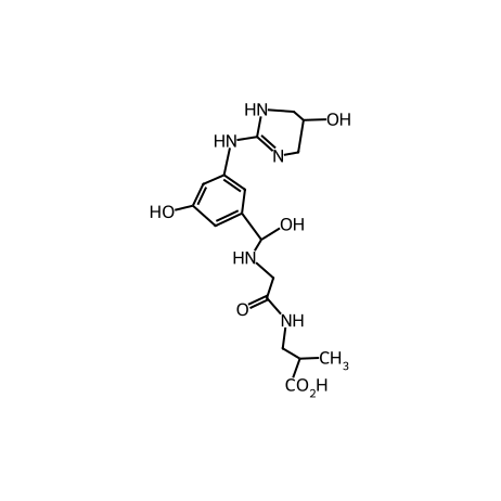 CC(CNC(=O)CNC(O)c1cc(O)cc(NC2=NCC(O)CN2)c1)C(=O)O